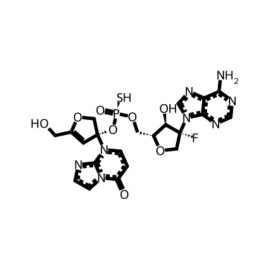 Nc1ncnc2c1ncn2[C@@]1(F)CO[C@H](CO[P@@](=O)(S)O[C@]2(n3ccc(=O)n4ccnc34)C=C(CO)OC2)[C@H]1O